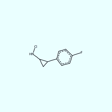 Fc1ccc(C2CC2NCl)cc1